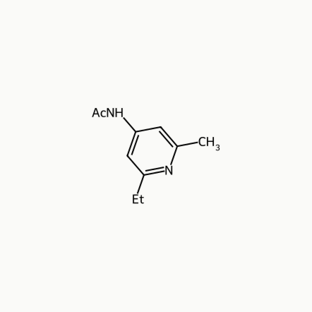 CCc1cc(NC(C)=O)cc(C)n1